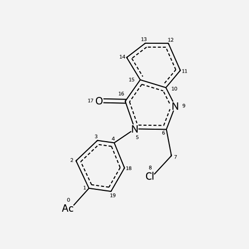 CC(=O)c1ccc(-n2c(CCl)nc3ccccc3c2=O)cc1